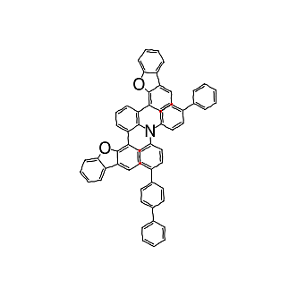 c1ccc(-c2ccc(-c3ccc(N(c4ccc(-c5ccccc5)cc4)c4c(-c5cccc6c5oc5ccccc56)cccc4-c4cccc5c4oc4ccccc45)cc3)cc2)cc1